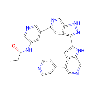 CCC(=O)Nc1cncc(-c2cc3c(-c4cc5c(-c6ccncc6)cncc5[nH]4)n[nH]c3cn2)c1